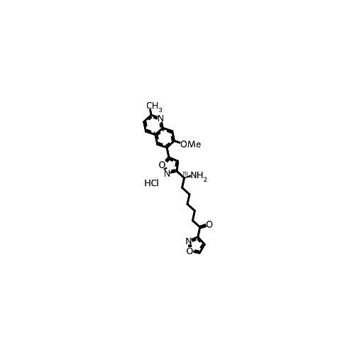 COc1cc2nc(C)ccc2cc1-c1cc([C@@H](N)CCCCCC(=O)c2ccon2)no1.Cl